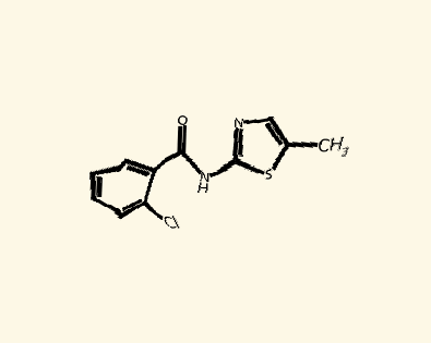 Cc1cnc(NC(=O)c2ccccc2Cl)s1